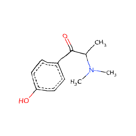 CC(C(=O)c1ccc(O)cc1)N(C)C